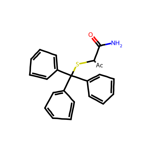 CC(=O)C(SC(c1ccccc1)(c1ccccc1)c1ccccc1)C(N)=O